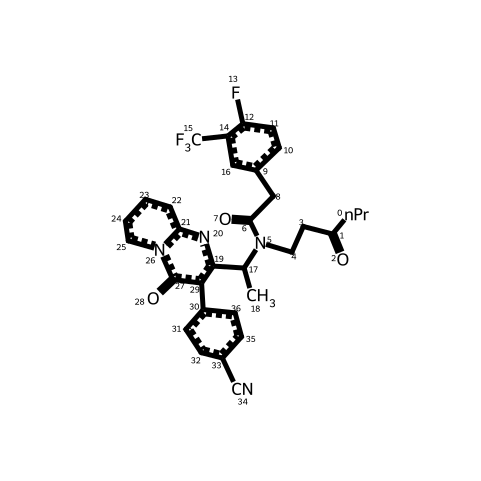 CCCC(=O)CCN(C(=O)Cc1ccc(F)c(C(F)(F)F)c1)C(C)c1nc2ccccn2c(=O)c1-c1ccc(C#N)cc1